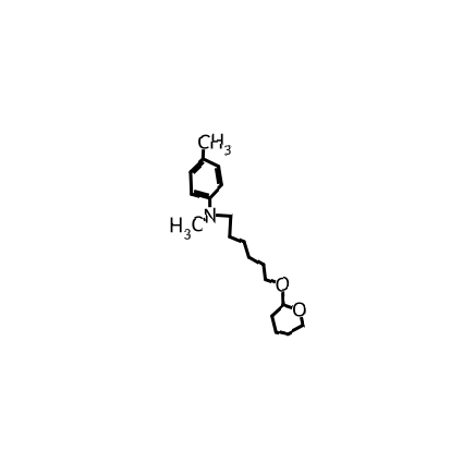 Cc1ccc(N(C)CCCCCCOC2CCCCO2)cc1